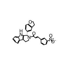 O=C(/C=C/c1cccc([N+](=O)[O-])c1)N1CCc2c([nH]c3ccccc23)[C@@H]1c1ccc2c(c1)CCO2